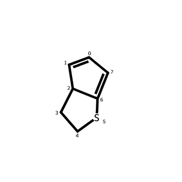 C1=CC2CCSC2=C1